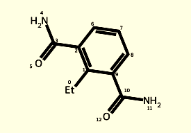 CCc1c(C(N)=O)cccc1C(N)=O